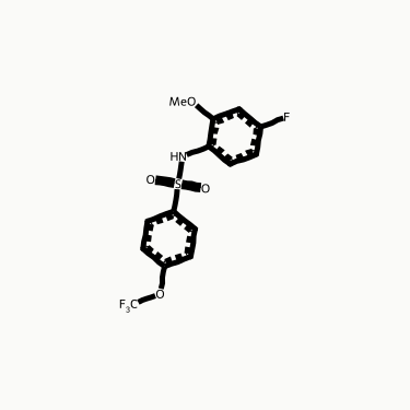 COc1cc(F)ccc1NS(=O)(=O)c1ccc(OC(F)(F)F)cc1